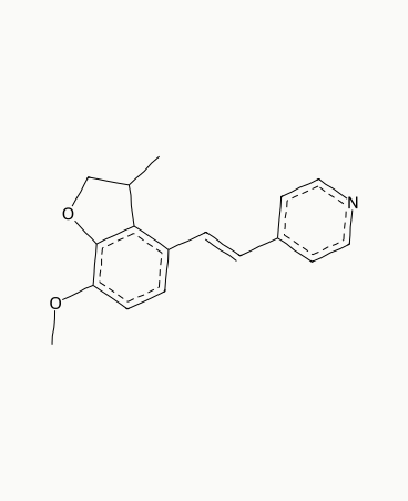 COc1ccc(/C=C/c2ccncc2)c2c1OCC2C